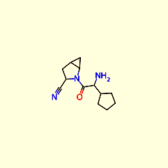 N#CC1CC2CC2N1C(=O)C(N)C1CCCC1